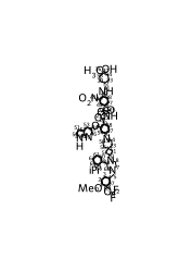 COc1ccc(CN2CCN(C3CC4(CCN(c5ccc(C(=O)NS(=O)(=O)c6ccc(NC[C@H]7CC[C@](C)(O)CC7)c([N+](=O)[O-])c6)c(Oc6cnc7[nH]ccc7c6)c5)CC4)C3)C(c3ccccc3C(C)C)C2)cc1OC(F)F